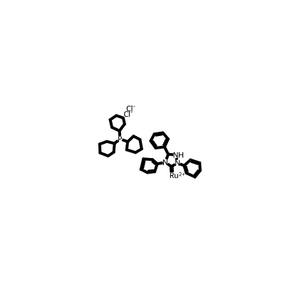 C1CCC(P(C2CCCCC2)C2CCCCC2)CC1.[Cl-].[Cl-].[Ru+2]=[C]1N(c2ccccc2)NC(c2ccccc2)N1c1ccccc1